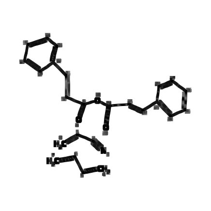 C=CC#N.C=CC=C.O=C(C=Cc1ccccc1)OC(=O)C=Cc1ccccc1